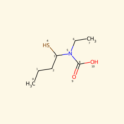 CCCC(S)N(CC)C(=O)O